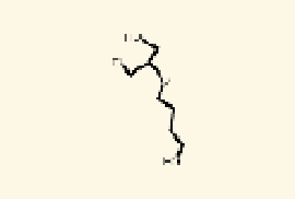 OCCCCOC(CO)CCl